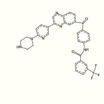 O=C(Nc1ccc(C(=O)c2ccc3ncc(-c4ccc(N5CCNCC5)nc4)nc3c2)cc1)c1cccc(C(F)(F)F)c1